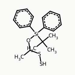 CC(O[Si](c1ccccc1)(c1ccccc1)C(C)(C)C)SS